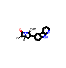 CC(C)[C@H]1C(=O)N2C(C=O)=C(c3ccc4[nH]c5ncccc5c4c3)C[C@H]12